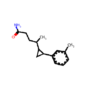 Cc1cccc(C2CC2C(C)CCC(N)=O)c1